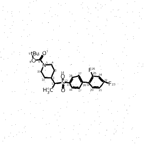 CC(C1CCN(C(=O)OC(C)(C)C)CC1)S(=O)(=O)c1ccc(-c2ccc(F)cc2F)cc1